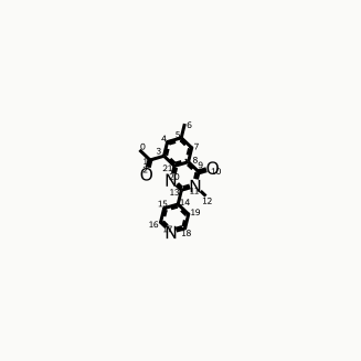 CC(=O)c1cc(C)cc2c(=O)n(C)c(-c3ccncc3)nc12